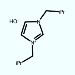 CC(C)Cn1cc[n+](CC(C)C)c1.[OH-]